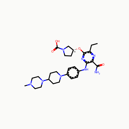 CCc1nc(C(N)=O)c(Nc2ccc(N3CCC(N4CCN(C)CC4)CC3)cc2)nc1O[C@@H]1CCN(C(=O)O)C1